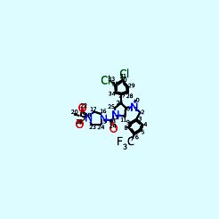 CN(Cc1ccc(C(F)(F)F)cc1)C1CN(C(=O)N2CCN(S(C)(=O)=O)CC2)CC1c1ccc(Cl)c(Cl)c1